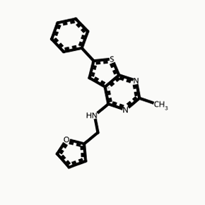 Cc1nc(NCc2ccco2)c2cc(-c3ccccc3)sc2n1